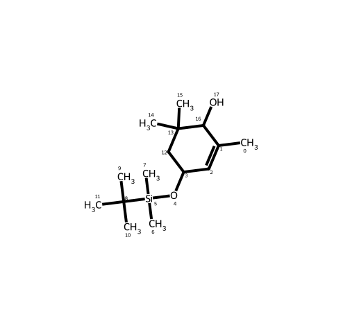 CC1=CC(O[Si](C)(C)C(C)(C)C)CC(C)(C)C1O